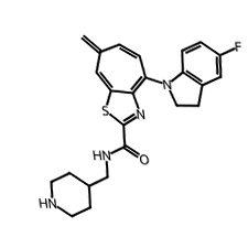 C=C1C=CC(N2CCc3cc(F)ccc32)=c2nc(C(=O)NCC3CCNCC3)sc2=C1